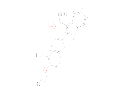 CCCCC(O)c1c(-c2ccc3c(C)c(OCC#N)ccc3c2)oc2ccccc12